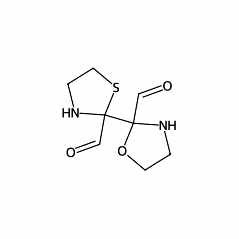 O=CC1(C2(C=O)NCCS2)NCCO1